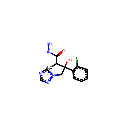 CC(C(=O)NN)C(O)(Cn1cncn1)c1ccccc1F